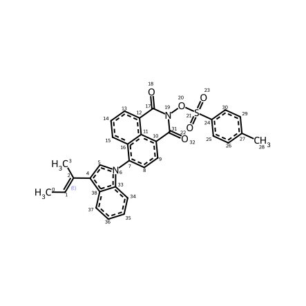 C/C=C(\C)c1cn(-c2ccc3c4c(cccc24)C(=O)N(OS(=O)(=O)c2ccc(C)cc2)C3=O)c2ccccc12